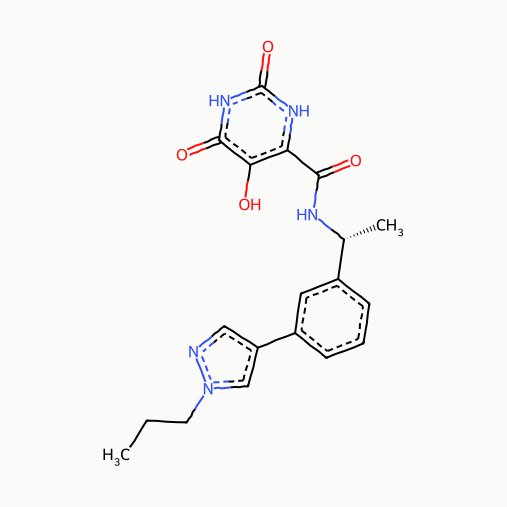 CCCn1cc(-c2cccc([C@@H](C)NC(=O)c3[nH]c(=O)[nH]c(=O)c3O)c2)cn1